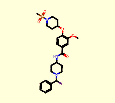 COc1cc(C(=O)NC2CCN(C(I)c3ccccc3)CC2)ccc1OC1CCN(S(C)(=O)=O)CC1